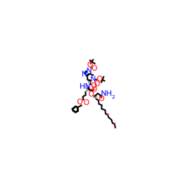 CCCCCCCCCCCCC[C@@H](CC(N)=O)OC(=O)[C@H](CCCC(=O)OCc1ccccc1)NC(=O)[C@H]1Cc2ncn(C(=O)OC(C)(C)C)c2CN1C(=O)OC(C)(C)C